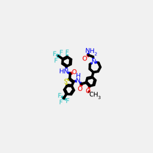 COc1ccc(C2CCCN(CC(N)=O)CC2)cc1C(=O)Nc1c(C(=O)Nc2ccc(F)c(C(F)(F)F)c2)sc2cc(C(F)(F)F)ccc12